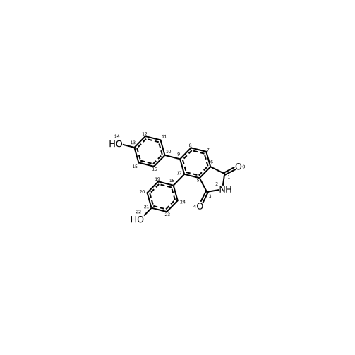 O=C1NC(=O)c2c1ccc(-c1ccc(O)cc1)c2-c1ccc(O)cc1